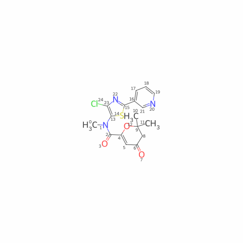 CN(C(=O)C1=CC(=O)CC(C)(C)O1)c1sc(-c2cccnc2)nc1Cl